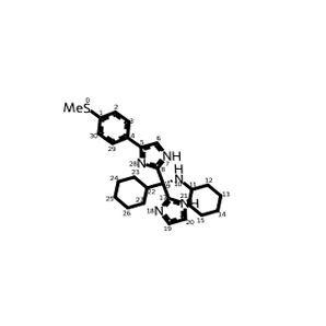 CSc1ccc(-c2c[nH]c([C@@](NC3CCCCC3)(c3ncc[nH]3)C3CCCCC3)n2)cc1